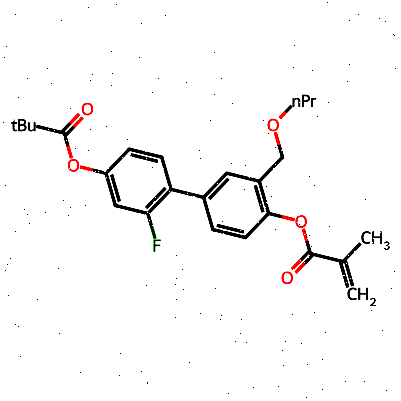 C=C(C)C(=O)Oc1ccc(-c2ccc(OC(=O)C(C)(C)C)cc2F)cc1COCCC